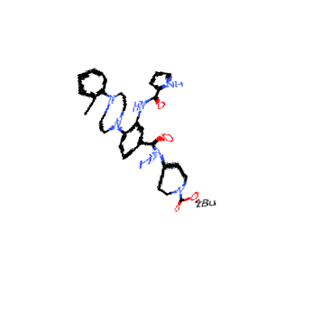 Cc1ccccc1N1CCN(c2ccc(C(=O)NC3CCN(C(=O)OC(C)(C)C)CC3)cc2NC(=O)c2ccc[nH]2)CC1